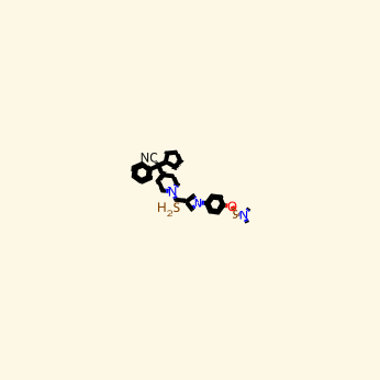 CN(C)SOc1ccc(N2CC(CN3CCC(C(C#N)(c4ccccc4)C4CCCC4)CC3)C2)cc1.S